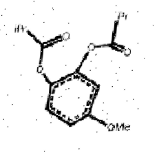 COc1ccc(OC(=O)C(C)C)c(OC(=O)C(C)C)c1